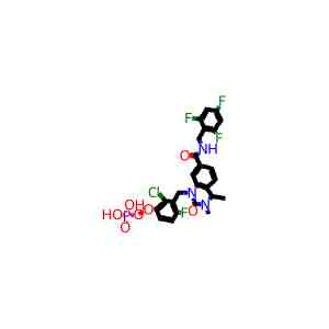 CC1c2ccc(C(=O)NCc3c(F)cc(F)cc3F)cc2N(Cc2c(F)ccc(OOP(=O)(O)O)c2Cl)C(=O)N1C